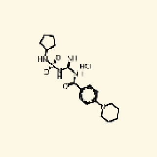 Cl.N=C(NC(=O)c1ccc(N2CCCCC2)cc1)NS(=O)(=O)NC1CCCC1